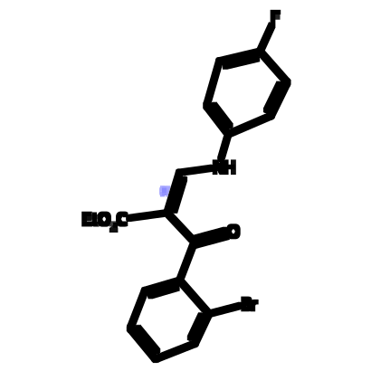 CCOC(=O)/C(=C/Nc1ccc(F)cc1)C(=O)c1ccccc1Br